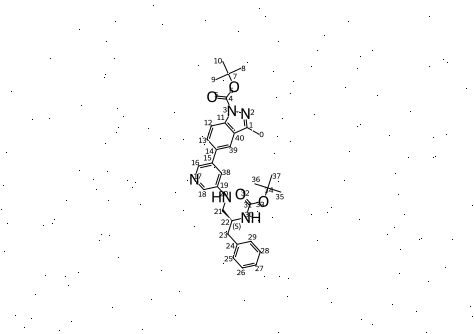 Cc1nn(C(=O)OC(C)(C)C)c2ccc(-c3cncc(NC[C@H](Cc4ccccc4)NC(=O)OC(C)(C)C)c3)cc12